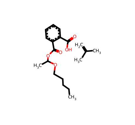 C=C(C)C.CCCCCOC(C)OC(=O)c1ccccc1C(=O)O